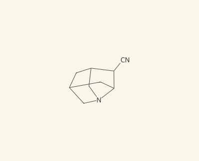 N#CC1C2CC3CC1N(C3)C2